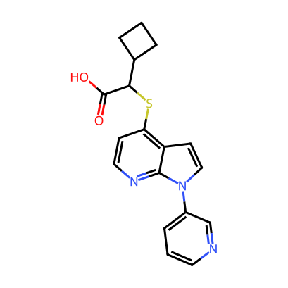 O=C(O)C(Sc1ccnc2c1ccn2-c1cccnc1)C1CCC1